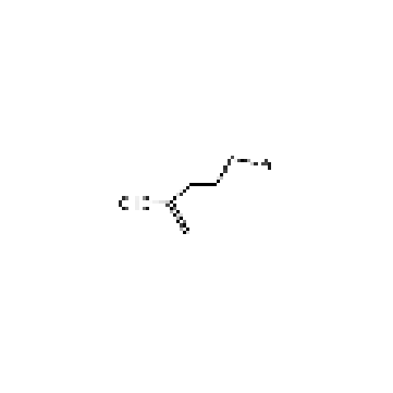 C=C(C=O)CCCC(C)C